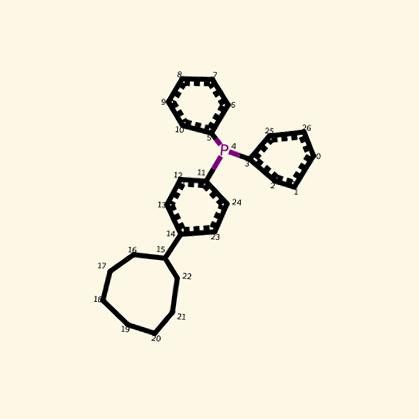 c1ccc(P(c2ccccc2)c2ccc(C3CCCCCCC3)cc2)cc1